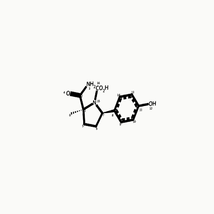 C[C@@]1(C(N)=O)CC[C@H](c2ccc(O)cc2)N1C(=O)O